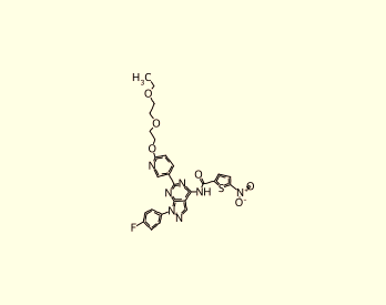 CCOCCOCCOc1ccc(-c2nc(NC(=O)c3ccc([N+](=O)[O-])s3)c3cnn(-c4ccc(F)cc4)c3n2)cn1